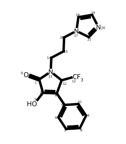 O=C1C(O)=C(c2ccccc2)C(C(F)(F)F)N1CCCn1ccnc1